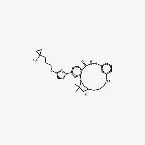 CC1(C)C[C@@H]2CCCNc3cccc(n3)SNC(=O)c3ccc(-n4ccc(OCCCC5(C(F)(F)F)CC5)n4)nc3N1C2